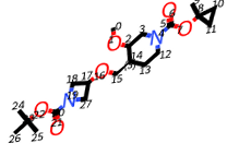 COC1CN(C(=O)OC2(C)CC2)CC[C@H]1COC1CN(C(=O)OC(C)(C)C)C1